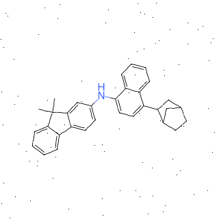 CC1(C)c2ccccc2-c2ccc(Nc3ccc(C4CC5CCC4C5)c4ccccc34)cc21